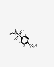 CC(C)NS(=O)(=O)c1ccc(C(=O)O)nc1